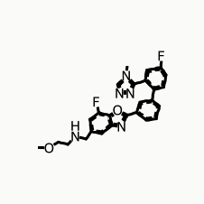 COCCNCc1cc(F)c2oc(-c3cccc(-c4ccc(F)cc4-c4nncn4C)c3)nc2c1